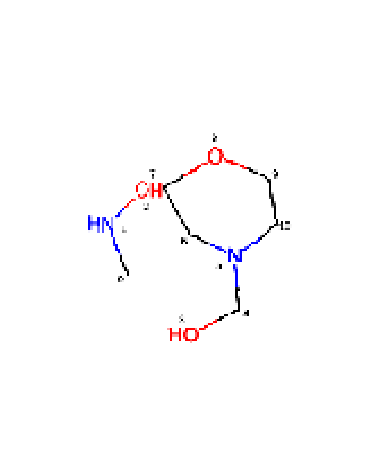 CNO.OCN1CCOCC1